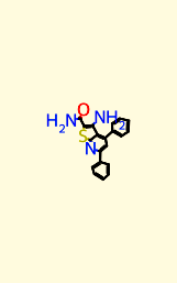 NC(=O)c1sc2nc(-c3ccccc3)cc(-c3ccccc3)c2c1N